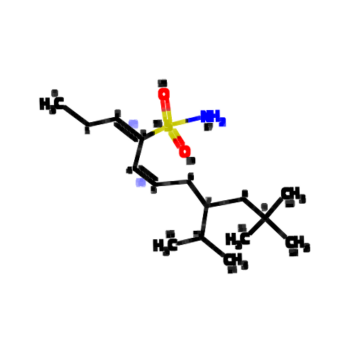 CC/C=C(\C=C/CC(CC(C)(C)C)C(C)C)S(N)(=O)=O